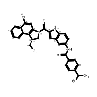 CC(C)c1ccc(C(=O)Nc2ccc3[nH]c(C(=O)N4C[C@@H](CCl)c5c4cc(O)c4ccccc54)cc3c2)cc1